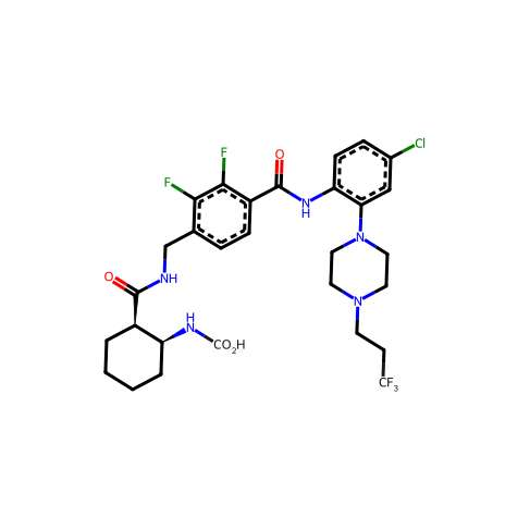 O=C(O)N[C@H]1CCCC[C@H]1C(=O)NCc1ccc(C(=O)Nc2ccc(Cl)cc2N2CCN(CCC(F)(F)F)CC2)c(F)c1F